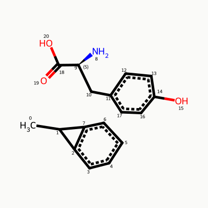 CC1c2ccccc21.N[C@@H](Cc1ccc(O)cc1)C(=O)O